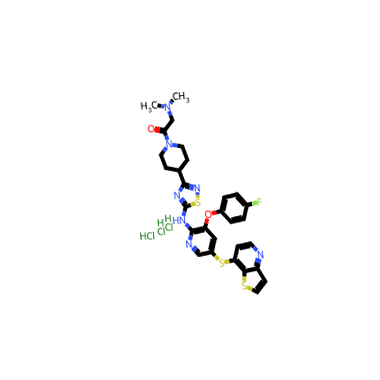 CN(C)CC(=O)N1CCC(c2nsc(Nc3ncc(Sc4ccnc5ccsc45)cc3Oc3ccc(F)cc3)n2)CC1.Cl.Cl.Cl